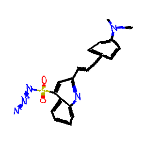 CN(C)c1ccc(C=Cc2cc(S(=O)(=O)N=[N+]=[N-])c3ccccc3n2)cc1